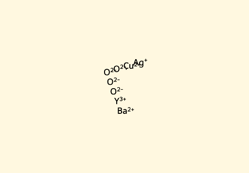 [Ag+].[Ba+2].[Cu+2].[O-2].[O-2].[O-2].[O-2].[Y+3]